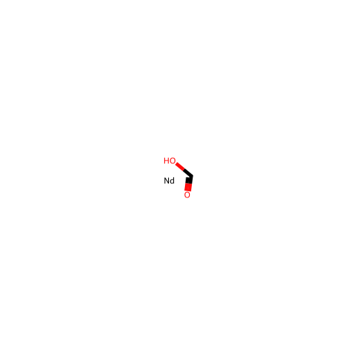 O=CO.[Nd]